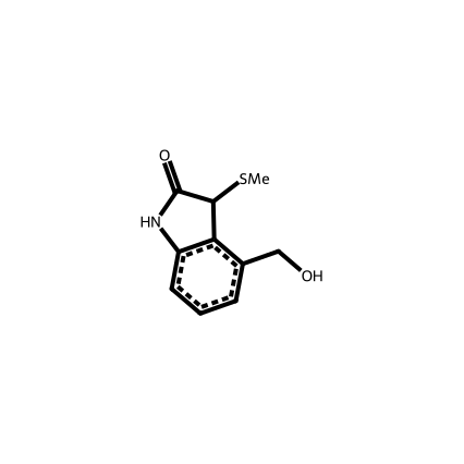 CSC1C(=O)Nc2cccc(CO)c21